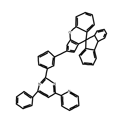 C1=CC2c3ccccc3C3(c4ccccc4Oc4cc(-c5cccc(-c6nc(-c7ccccc7)cc(-c7ccccn7)n6)c5)ccc43)C2C=C1